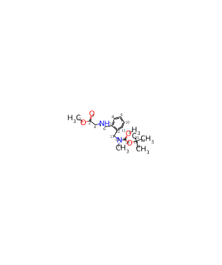 COC(=O)CNCc1ccccc1CN(C)C(=O)OC(C)(C)C